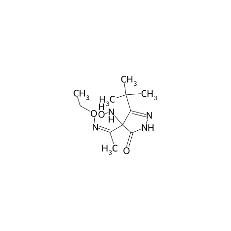 CCO/N=C(/C)C1(NO)C(=O)NN=C1C(C)(C)C